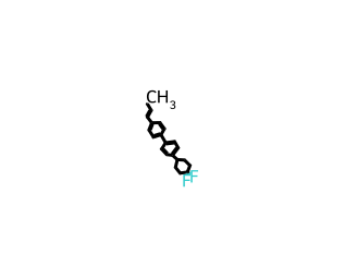 CCC=Cc1ccc(-c2ccc(C3CCC(F)(F)CC3)cc2)cc1